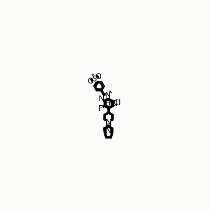 Cl.Cl.Cn1c(-c2ccc(S(C)(=O)=O)cc2)nc2c(F)c(C3CCN(C4CC5CCC(C4)N5)CC3)ccc21